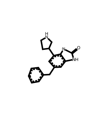 O=C1[N]c2c(cc(Cc3ccccc3)cc2C2CCNC2)N1